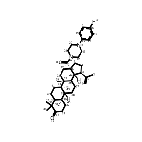 C=C(C)[C@@H]1CC[C@]2(C(=O)N3CCN(c4ccc(F)cc4)CC3)CC[C@]3(C)C(CC[C@@H]4[C@@]5(C)CCC(=O)C(C)(C)C5CC[C@]43C)[C@@H]12